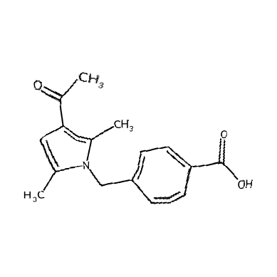 CC(=O)c1cc(C)n(Cc2ccc(C(=O)O)cc2)c1C